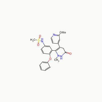 COc1cc(C2=C(c3cc(NS(C)(=O)=O)ccc3Oc3ccccc3)N(C)NC(=O)C2)ccn1